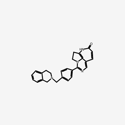 O=C1C=CC2=CN=C(c3ccc(CN4CCc5ccccc5C4)cc3)N3CCC(=C23)N1